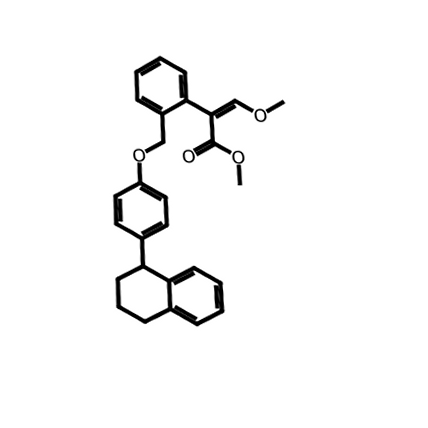 COC=C(C(=O)OC)c1ccccc1COc1ccc(C2CCCc3ccccc32)cc1